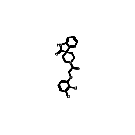 O=C(COc1cccc(Cl)c1Cl)N1CCC2(CC1)C(=O)Nc1ccccc12